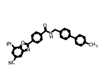 Cc1ccc(-c2ccc(CNC(=O)c3ccc(-c4nc5cc(C#N)cc(C(C)C)c5o4)cc3)cc2)cc1